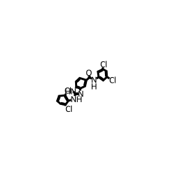 O=C(Nc1cc(Cl)cc(Cl)c1)c1ccc2[nH]c(Nc3c(Cl)cccc3Cl)nc2c1